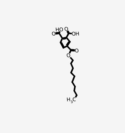 CCCCCCCCCCOC(=O)c1ccc(C(=O)O)c(C(=O)O)c1